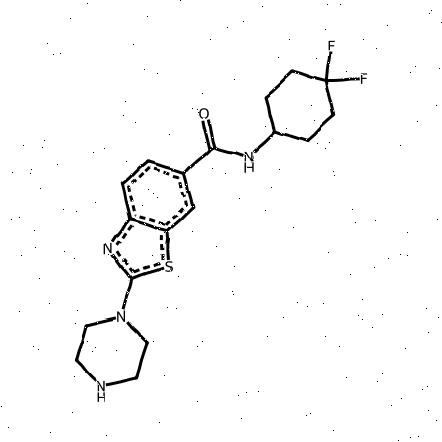 O=C(NC1CCC(F)(F)CC1)c1ccc2nc(N3CCNCC3)sc2c1